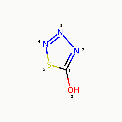 Oc1nnns1